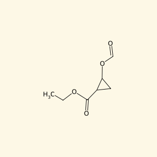 CCOC(=O)C1CC1OC=O